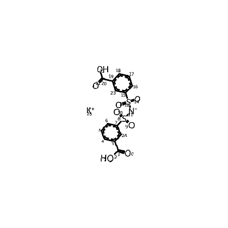 O=C(O)c1cccc(S(=O)(=O)[N-]S(=O)(=O)c2cccc(C(=O)O)c2)c1.[K+]